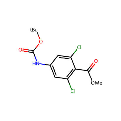 COC(=O)c1c(Cl)cc(NC(=O)OC(C)(C)C)cc1Cl